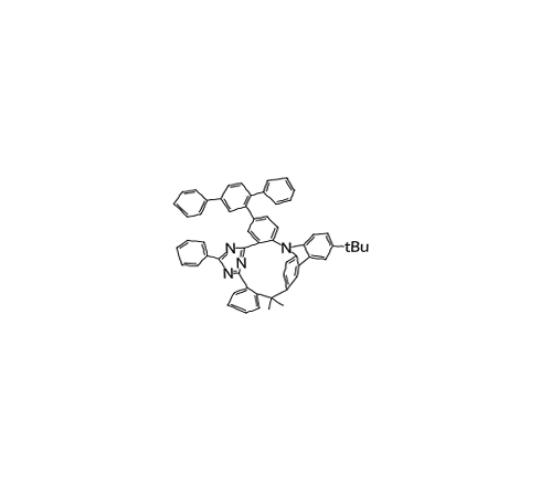 CC(C)(C)c1ccc2c(c1)c1cc3ccc1n2-c1ccc(-c2cc(-c4ccccc4)ccc2-c2ccccc2)cc1-c1nc(-c2ccccc2)nc(n1)-c1ccccc1C3(C)C